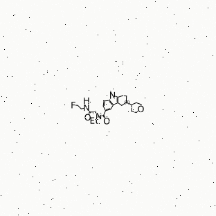 CCN(CC(=O)NCCF)C(=O)c1ccc2c(c1)c1c(n2C)CC[C@@H](C2CCOCC2)C1